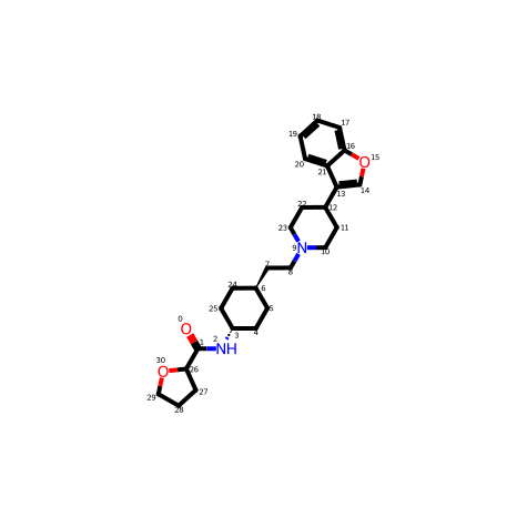 O=C(N[C@H]1CC[C@H](CCN2CCC(c3coc4ccccc34)CC2)CC1)C1CCCO1